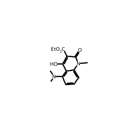 CCOC(=O)c1c(O)c2c(N(C)C)cccc2n(C)c1=O